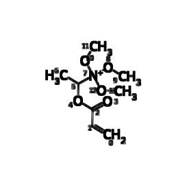 C=CC(=O)OC(C)[N+](OC)(OC)OC